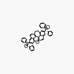 O=P(c1ccccc1)(c1ccccc1)c1cc2c3c4c(ccc3c1)Oc1cc(P(=O)(c3ccccc3)c3ccccc3)cc3ccc(c-4c13)CC2